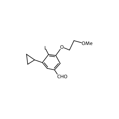 COCCOc1cc(C=O)cc(C2CC2)c1I